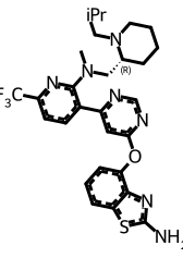 CC(C)CN1CCCC[C@@H]1CN(C)c1nc(C(F)(F)F)ccc1-c1cc(Oc2cccc3sc(N)nc23)ncn1